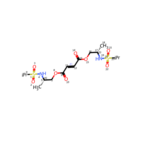 CC(C)S(=O)(=O)N[C@@H](C)COC(=O)/C=C/C(=O)OC[C@H](C)NS(=O)(=O)C(C)C